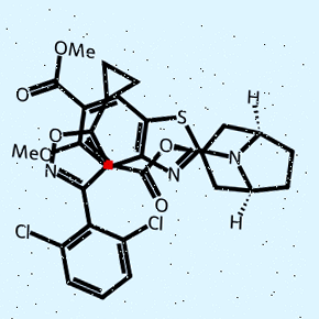 COC(=O)c1cc2sc(N3[C@@H]4CC[C@H]3C[C@@H](OC(=O)c3c(-c5c(Cl)cccc5Cl)noc3C3CC3)C4)nc2cc1OC